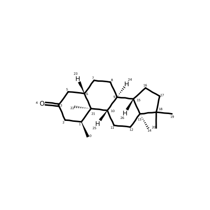 C[C@H]1CC(=O)C[C@@H]2CC[C@@H]3[C@H](CC[C@@]4(C)[C@H]3CCC4(C)C)[C@]21C